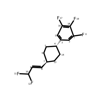 Fc1cc([C@H]2CC[C@H](C=CC(F)F)CC2)cc(F)c1F